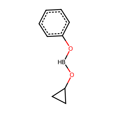 B(Oc1ccccc1)OC1CC1